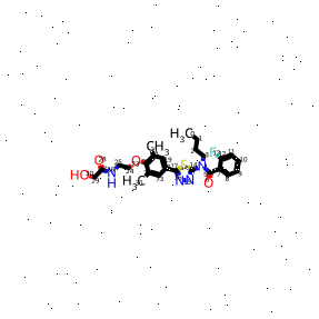 CCCCN(C(=O)c1ccccc1F)c1nnc(-c2cc(C)c(OCCNC(=O)CO)c(C)c2)s1